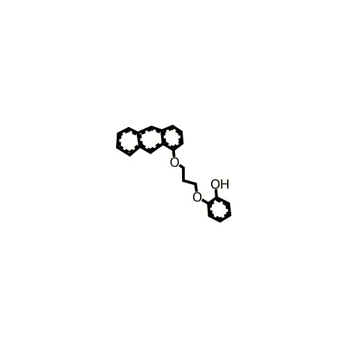 Oc1ccccc1OCCCOc1cccc2cc3ccccc3cc12